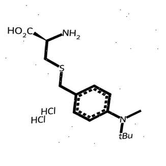 CN(c1ccc(CSC[C@H](N)C(=O)O)cc1)C(C)(C)C.Cl.Cl